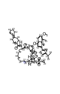 COc1ccc2c(O[C@@H]3C[C@H]4C(=O)N[C@]5(C(=O)NS(=O)(=O)C6CC6)C[C@H]5/C=C/CCCCC[C@H](NC(=O)N5CCC(N6CCCC6)CC5)C(=O)N4C3)cc(-c3nc(C(C)C)cs3)nc2c1C